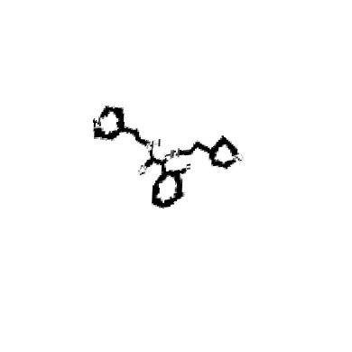 O=C(NCCc1ccncc1)C(NCCc1ccncc1)c1ccccc1F